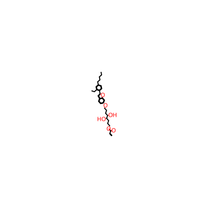 C=CC(=O)OCCCC(O)C(O)CCCOc1ccc2cc(-c3ccc(CCCCC)cc3CC)oc2c1